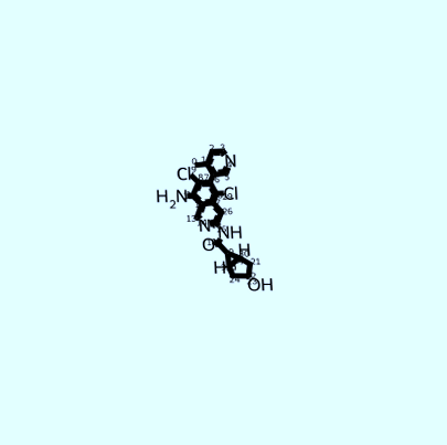 Cc1ccncc1-c1c(Cl)c(N)c2cnc(NC(=O)C3[C@H]4CC(O)C[C@@H]34)cc2c1Cl